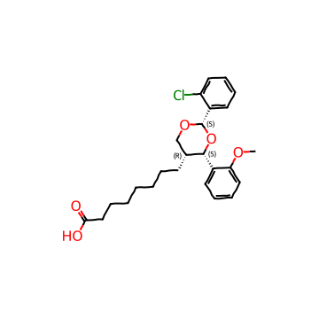 COc1ccccc1[C@H]1O[C@@H](c2ccccc2Cl)OC[C@H]1CCCCCCCC(=O)O